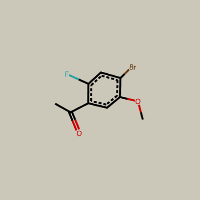 COc1cc(C(C)=O)c(F)cc1Br